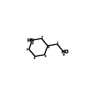 O=NCC1CCCNC1